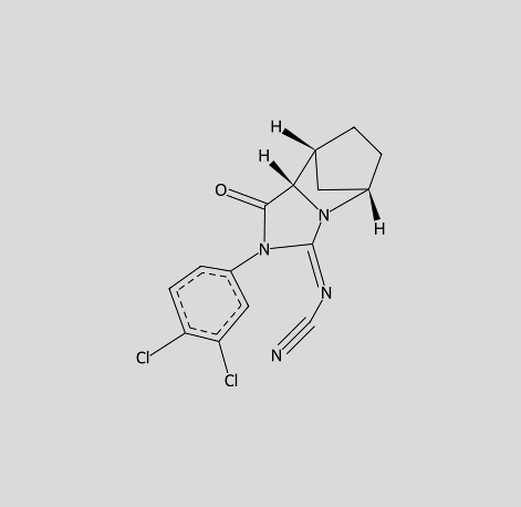 N#CN=C1N(c2ccc(Cl)c(Cl)c2)C(=O)[C@@H]2[C@@H]3CC[C@@H](C3)N12